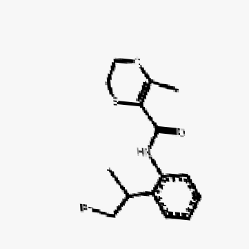 CC1=C(C(=O)Nc2ccccc2C(C)CC(C)C)SCCO1